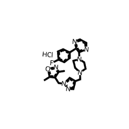 Cc1noc(C)c1Cn1cc(CN2CCN(c3nccnc3-c3ccc(F)cc3)CC2)cn1.Cl